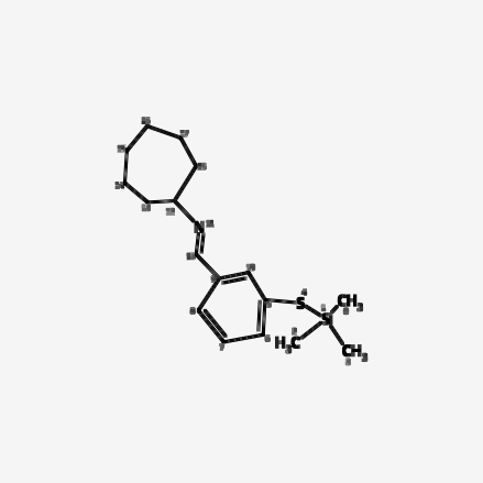 C[Si](C)(C)Sc1cccc(C=NC2CCCCCC2)c1